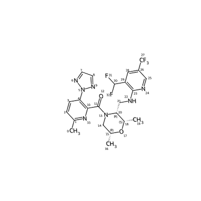 Cc1ccc(-n2nccn2)c(C(=O)N2C[C@@H](C)O[C@@H](C)[C@H]2CNc2ncc(C(F)(F)F)cc2C(F)F)n1